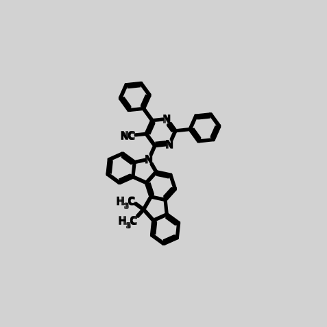 CC1(C)c2ccccc2-c2ccc3c(c21)c1ccccc1n3-c1nc(-c2ccccc2)nc(-c2ccccc2)c1C#N